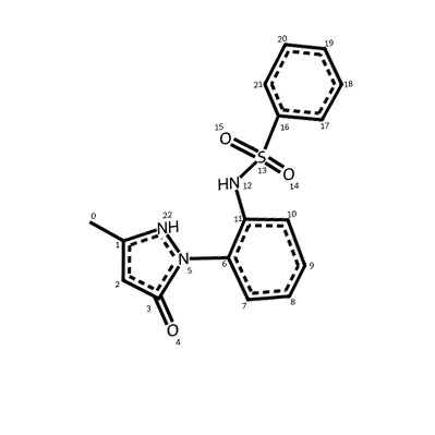 Cc1cc(=O)n(-c2ccccc2NS(=O)(=O)c2ccccc2)[nH]1